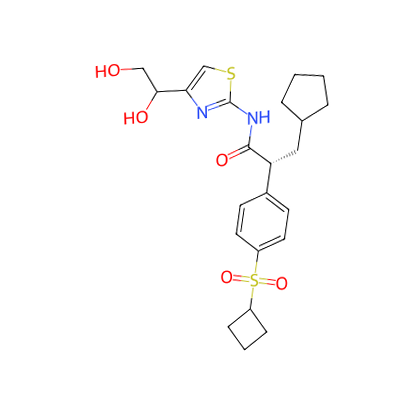 O=C(Nc1nc(C(O)CO)cs1)[C@H](CC1CCCC1)c1ccc(S(=O)(=O)C2CCC2)cc1